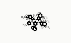 Cc1ccc(N2c3cc(C45CC6CC(CC(C6)C4)C5)cc4c3B(c3cc5c(cc3N4c3ccc4c(c3)C(C)(C)CCC4(C)C)C(C)(C)CCC5(C)C)c3sc4ccc(C(C)(C)C)cc4c32)cc1